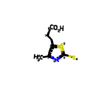 Cc1nc([S])sc1CC(=O)O